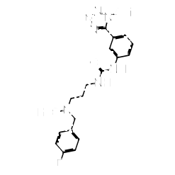 CN(CCCNC(=O)Nc1cccc(-c2nnnn2C)c1)Cc1ccc(F)cc1